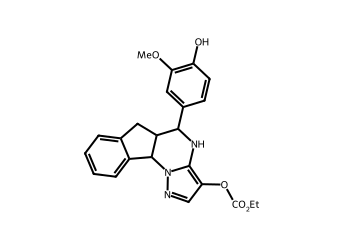 CCOC(=O)Oc1cnn2c1NC(c1ccc(O)c(OC)c1)C1Cc3ccccc3C12